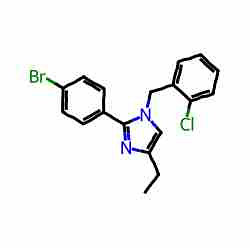 CCc1cn(Cc2ccccc2Cl)c(-c2ccc(Br)cc2)n1